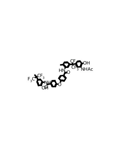 CC(=O)Nc1cc(C(c2ccc(C)c(NC(=O)c3ccc(Oc4ccc(C(=O)Nc5cc(C(C)(C(F)(F)F)C(F)(F)F)ccc5O)cc4)cc3)c2)(C(F)(F)F)C(F)(F)F)ccc1O